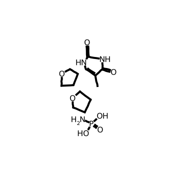 C1CCOC1.C1CCOC1.Cc1c[nH]c(=O)[nH]c1=O.NP(=O)(O)O